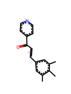 Cc1cc(/C=C/C(=O)c2ccncc2)cc(C)c1C